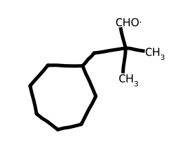 CC(C)([C]=O)CC1CCCCCC1